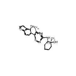 Cc1nc(N[C@@H]2CCCC[C@@]2(C)O)nnc1-c1ccc2sccc2c1O